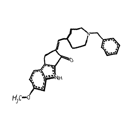 COc1ccc2c3c([nH]c2c1)C(=O)C(=CC1CCN(Cc2ccccc2)CC1)C3